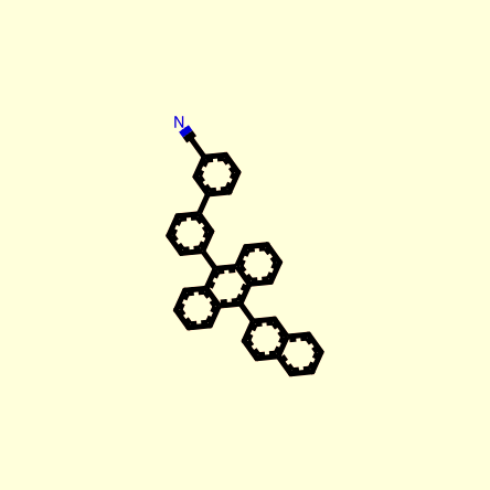 N#Cc1cccc(-c2cccc(-c3c4ccccc4c(-c4ccc5ccccc5c4)c4ccccc34)c2)c1